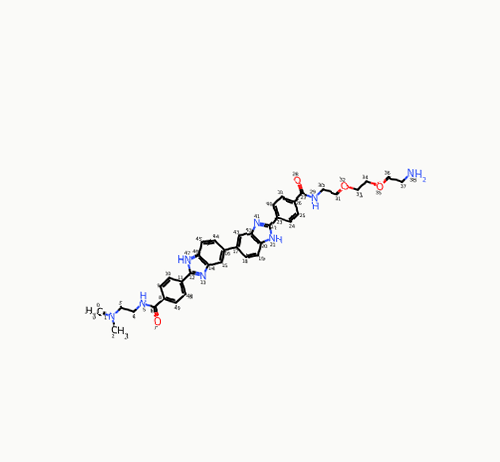 CN(C)CCNC(=O)c1ccc(-c2nc3cc(-c4ccc5[nH]c(-c6ccc(C(=O)NCCOCCOCCN)cc6)nc5c4)ccc3[nH]2)cc1